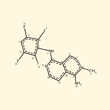 Cc1ccc2c(Nc3c(F)c(F)cc(F)c3F)nccc2c1N